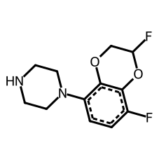 Fc1ccc(N2CCNCC2)c2c1OC(F)CO2